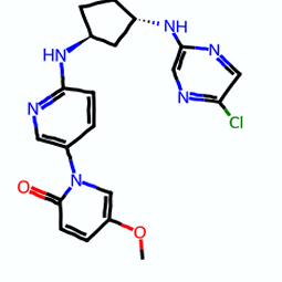 COc1ccc(=O)n(-c2ccc(N[C@H]3CC[C@H](Nc4cnc(Cl)cn4)C3)nc2)c1